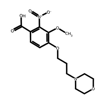 COc1c(OCCCN2CCOCC2)ccc(C(=O)O)c1[N+](=O)[O-]